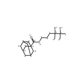 CC(F)(F)C(F)(F)CCCOC(=O)C12CC3CC(CC(C3)C1)C2